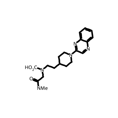 CNC(=O)CN(CCC1CCN(c2cnc3ccccc3n2)CC1)C(=O)O